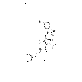 CCN(CC)CCCNC(=O)c1c(C(C)C)[nH]c(C=C2C(=O)Nc3ccc(Br)cc32)c1C(C)C